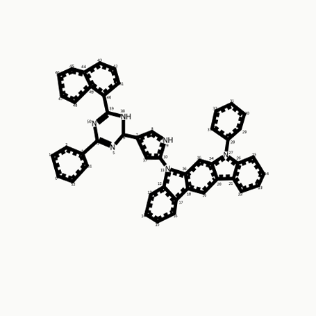 c1ccc(C2=NC(c3c[nH]c(-n4c5ccccc5c5cc6c7ccccc7n(-c7ccccc7)c6cc54)c3)NC(c3cccc4ccccc34)=N2)cc1